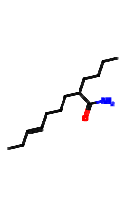 CC/C=C/CCCC(CCCC)C(N)=O